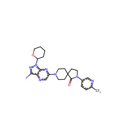 O=C1N(c2ccc(C(F)(F)F)nc2)CCC12CCN(c1cnc3c(I)nn(C4CCCCO4)c3n1)CC2